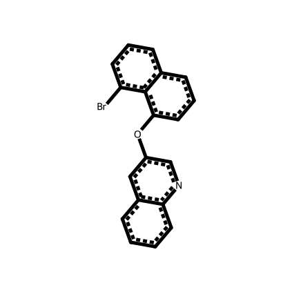 Brc1cccc2cccc(Oc3cnc4ccccc4c3)c12